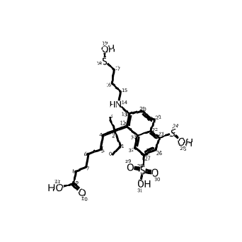 CCC(C)(CCCCCC(=O)O)c1c(NCCCSO)ccc2c(SO)cc(S(=O)(=O)O)cc12